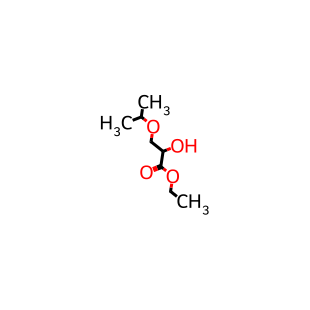 CCOC(=O)C(O)COC(C)C